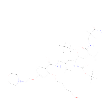 COCCCCOc1cc(OCCN2CCOCC2)ccc1C(=O)NCC(CC(NC(=O)OC(C)(C)C)C(CC(C(=O)NCC(C)(C)C(N)=O)C(C)C)O[Si](C)(C)C(C)(C)C)C(C)C